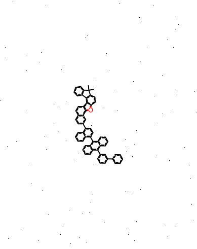 CC1(C)c2ccccc2-c2c1ccc1oc3c4cc(-c5ccc(-c6c7ccccc7c(-c7cccc(-c8ccccc8)c7)c7ccccc67)c6ccccc56)ccc4ccc3c21